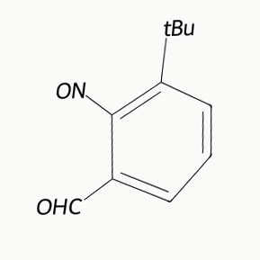 CC(C)(C)c1cccc(C=O)c1N=O